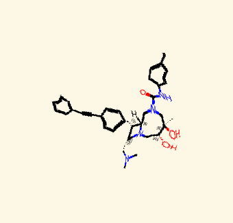 Cc1ccc(NC(=O)N2C[C@H]3[C@@H](c4ccc(C#Cc5ccccc5)cc4)[C@@H](CN(C)C)N3C[C@@H](O)[C@](C)(O)C2)cc1